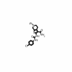 CC(C)N1CCc2c(sc(NC(=O)Nc3ccc(Cl)cc3)c2C(N)=O)C1